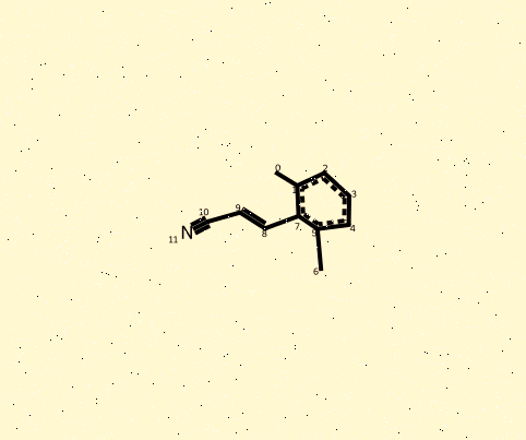 Cc1cccc(C)c1/C=C/C#N